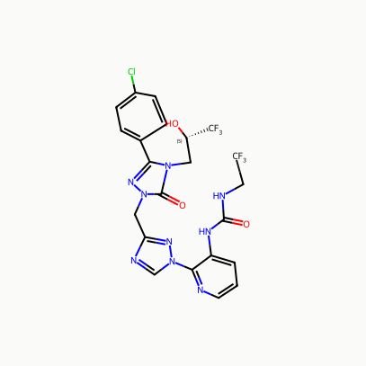 O=C(NCC(F)(F)F)Nc1cccnc1-n1cnc(Cn2nc(-c3ccc(Cl)cc3)n(C[C@H](O)C(F)(F)F)c2=O)n1